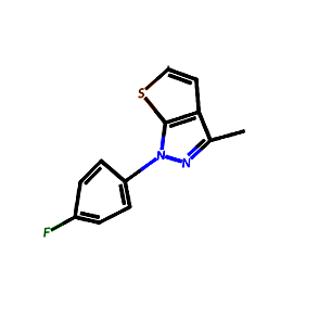 Cc1nn(-c2ccc(F)cc2)c2s[c]cc12